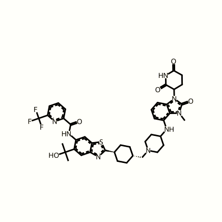 Cn1c(=O)n(C2CCC(=O)NC2=O)c2cccc(NC3CCN(C[C@H]4CC[C@H](c5nc6cc(C(C)(C)O)c(NC(=O)c7cccc(C(F)(F)F)n7)cc6s5)CC4)CC3)c21